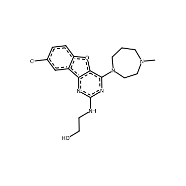 CN1CCCN(c2nc(NCCO)nc3c2oc2ccc(Cl)cc23)CC1